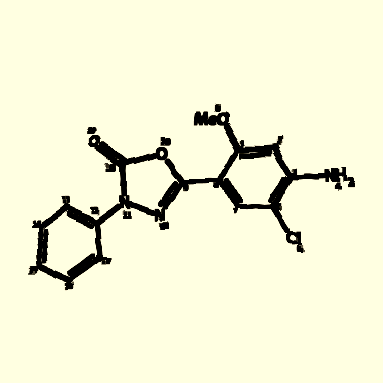 COc1cc(N)c(Cl)cc1-c1nn(-c2ccccc2)c(=O)o1